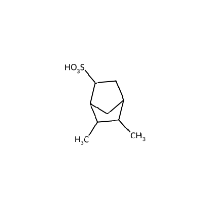 CC1C2CC(C1C)C(S(=O)(=O)O)C2